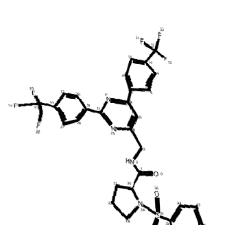 O=C(NCc1cc(-c2ccc(C(F)(F)F)cc2)nc(-c2ccc(C(F)(F)F)cc2)n1)[C@@H]1CCCN1S(=O)(=O)c1ccc(F)cc1